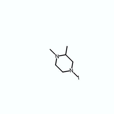 CC1CN(I)CCN1C